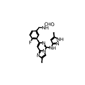 Cc1cn2c(Nc3cc(C)[nH]n3)nc(-c3cc(CNC=O)ccc3F)cc2n1